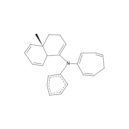 C[C@]12C=CC=CC1C(N(C1=CC=CCC=C1)c1ccccc1)=CCC2